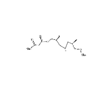 C[C@H](C[C@H](C)COC(=O)CC(=O)C(C)(C)C)C[C@@H](C)COC(C)(C)C